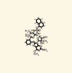 COc1nc(N)nc2c1ncn2C1O[C@H](COP(=O)(N[C@H](C(=O)O[C@@H](C)c2ccccc2Br)C(C)C)Oc2cccc3ccccc23)[C@@H](O)[C@@]1(C)O